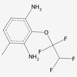 Cc1ccc(N)c(OC(F)(F)C(F)F)c1N